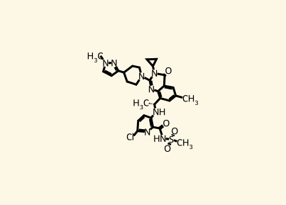 Cc1cc([C@@H](C)Nc2ccc(Cl)nc2C(=O)NS(C)(=O)=O)c2nc(N3CCC(c4ccn(C)n4)CC3)n(C3CC3)c(=O)c2c1